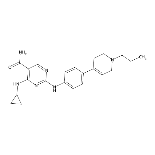 CCCN1CC=C(c2ccc(Nc3ncc(C(N)=O)c(NC4CC4)n3)cc2)CC1